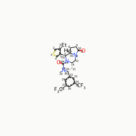 CCc1cscc1[C@H]1[C@@H]2CCC(=O)N2CCN1C(=O)N(C)[C@H](C)c1cc(C(F)(F)F)cc(C(F)(F)F)c1